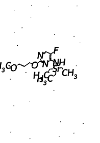 CC[Si](CC)(CC)Nc1nc(OCCCOC)ncc1F